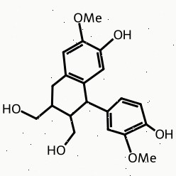 COc1cc(C2c3cc(O)c(OC)cc3CC(CO)C2CO)ccc1O